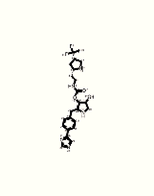 O=C(NCC[C@@H]1C[C@H](C(F)(F)F)CN1)OC1C(O)CNC1Cc1ccc(-c2cnco2)cc1